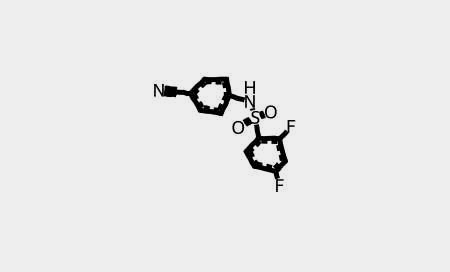 N#Cc1ccc(NS(=O)(=O)c2ccc(F)cc2F)cc1